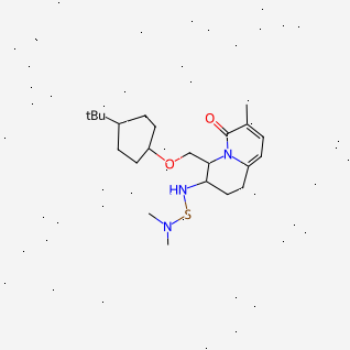 Cc1ccc2n(c1=O)C(COC1CCC(C(C)(C)C)CC1)C(NSN(C)C)CC2